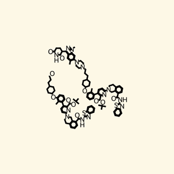 Cc1c(OC2CCC(CCC=O)CC2)cccc1-c1ccc(N2CCc3cccc(C(=O)Nc4nc5ccccc5s4)c3C2)nc1C(=O)OC(C)(C)C.Cc1cc2c(C3CCC(=O)NC3=O)nn(C)c2cc1N1CCN(CCCC2CCC(Oc3cccc(-c4ccc(N5CCc6cccc(C(=O)Nc7nc8ccccc8s7)c6C5)nc4C(=O)OC(C)(C)C)c3C)CC2)CC1